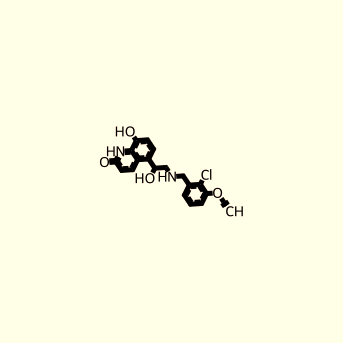 C#COc1cccc(CNCC(O)c2ccc(O)c3[nH]c(=O)ccc23)c1Cl